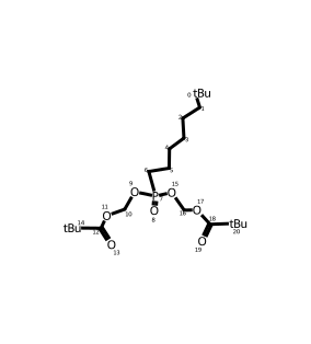 CC(C)(C)CCCCCCP(=O)(OCOC(=O)C(C)(C)C)OCOC(=O)C(C)(C)C